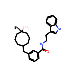 BC1(C(C)C)CCCC(Cc2cccc(C(=O)NCCc3c[nH]c4ccccc34)c2)CCC1